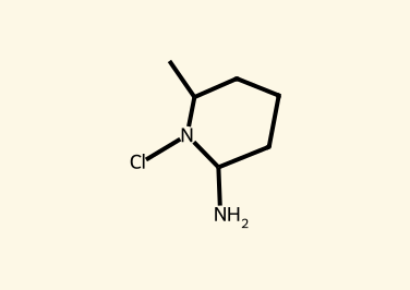 CC1CCCC(N)N1Cl